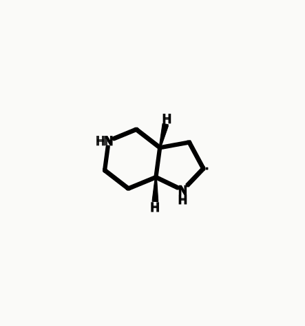 [CH]1C[C@H]2CNCC[C@H]2N1